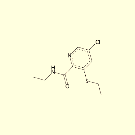 CCNC(=O)c1ncc(Cl)cc1SCC